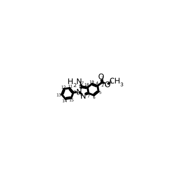 COC(=O)c1ccc2nn(-c3ccccc3)c(N)c2c1